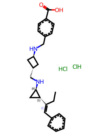 CC/C(=C\c1ccccc1)[C@@H]1C[C@H]1NC[C@H]1C[C@H](NCc2ccc(C(=O)O)cc2)C1.Cl.Cl